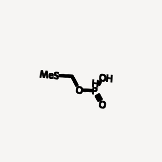 CSCO[PH](=O)O